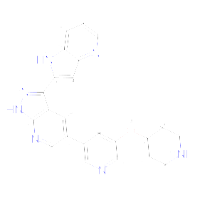 c1cnc2cc(-c3n[nH]c4ncc(-c5cncc(OC6CCNCC6)c5)cc34)[nH]c2c1